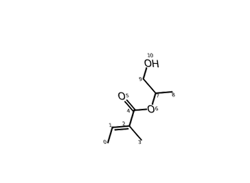 C/C=C(\C)C(=O)OC(C)CO